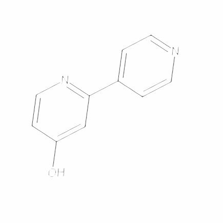 Oc1ccnc(-c2ccncc2)c1